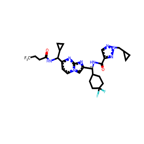 O=C(CCC(F)(F)F)NC(c1ccn2cc([C@@H](NC(=O)c3cnn(CC4CC4)n3)C3CCC(F)(F)CC3)nc2n1)C1CC1